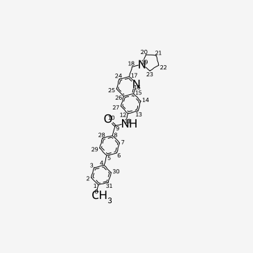 Cc1ccc(-c2ccc(C(=O)Nc3ccc4nc(CN5CCCC5)ccc4c3)cc2)cc1